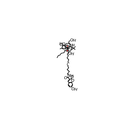 CCCCCCN(CCCCCCCCCCCCNC(=O)c1cc2ccc(O)cc2oc1=O)C(=O)O[C@@]12[C@H](O)[C@@H](C)[C@@]3(O)[C@@H](C=C(CO)C[C@]4(O)C(=O)C(C)=C[C@@H]34)[C@@H]1C2(C)C